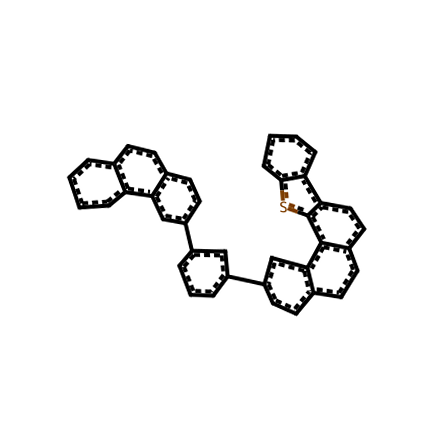 c1cc(-c2ccc3ccc4ccccc4c3c2)cc(-c2ccc3ccc4ccc5c6ccccc6sc5c4c3c2)c1